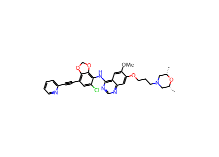 COc1cc2c(Nc3c(Cl)cc(C#Cc4ccccn4)c4c3OCO4)ncnc2cc1OCCCN1C[C@@H](C)O[C@@H](C)C1